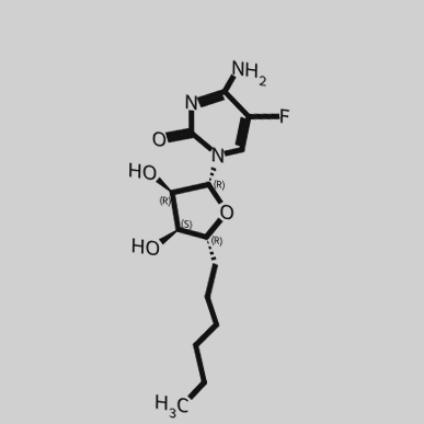 CCCCCC[C@H]1O[C@@H](n2cc(F)c(N)nc2=O)[C@H](O)[C@@H]1O